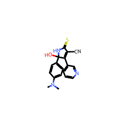 CN(C)c1ccc(C2(O)NC(=S)C(C#N)=C2c2cccnc2)cc1